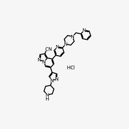 Cl.N#Cc1cnn2cc(-c3cnn(C4CCNCC4)c3)cc(-c3ccc(N4CCN(Cc5ccccn5)CC4)nc3)c12